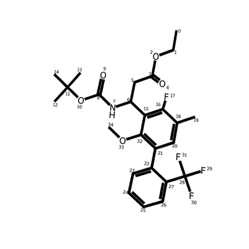 CCOC(=O)CC(NC(=O)OC(C)(C)C)c1c(F)c(C)cc(-c2ccccc2C(F)(F)F)c1OC